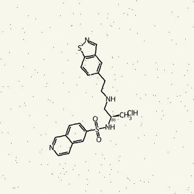 C[C@H](CNCCc1ccc2sncc2c1)NS(=O)(=O)c1ccc2cnccc2c1.Cl